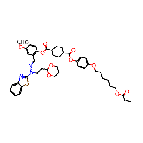 C=CC(=O)OCCCCCCOc1ccc(OC(=O)[C@H]2CC[C@H](C(=O)Oc3ccc(OC=O)cc3/C=N/N(CCC3OCCCO3)c3nc4ccccc4s3)CC2)cc1